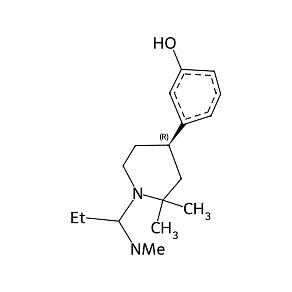 CCC(NC)N1CC[C@@H](c2cccc(O)c2)CC1(C)C